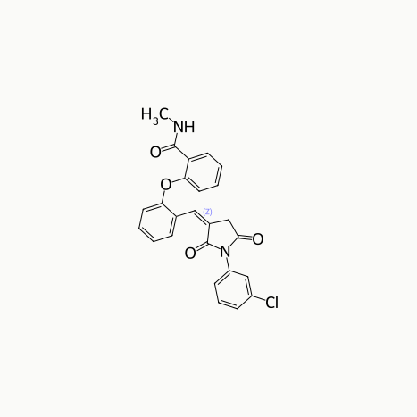 CNC(=O)c1ccccc1Oc1ccccc1/C=C1/CC(=O)N(c2cccc(Cl)c2)C1=O